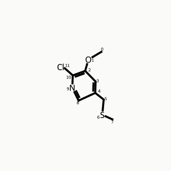 COc1cc(CSC)cnc1Cl